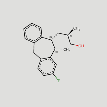 C[C@@H](CO)C[C@H]1c2ccccc2Cc2ccc(F)cc2[C@H]1C